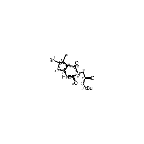 Cc1c(Br)sc2[nH]c(=O)n(CC(=O)OC(C)(C)C)c(=O)c12